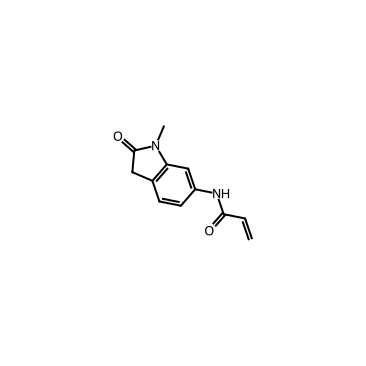 C=CC(=O)Nc1ccc2c(c1)N(C)C(=O)C2